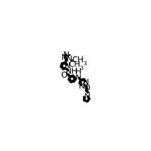 CC(C)n1cnnc1-c1cccc(NC(=O)c2cccc(Nc3cnc(OCCN4CCCC4)nc3)c2)n1